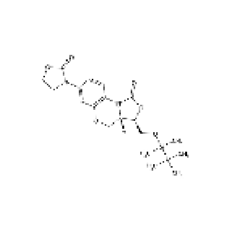 CC(C)(C)[Si](C)(C)OC[C@@H]1OC(=O)N2c3ccc(N4CCOC4=O)cc3OC[C@@H]12